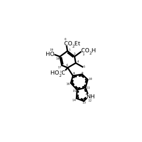 CCOC(=O)C1=C(C(=O)O)C(C)C(C(=O)O)(c2ccc3[nH]ccc3c2)C=C1O